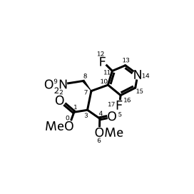 COC(=O)C(C(=O)OC)[C@@H](C[N+](=O)[O-])c1c(F)cncc1F